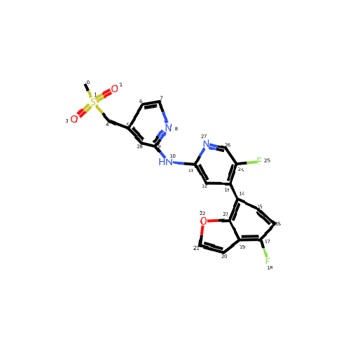 CS(=O)(=O)Cc1ccnc(Nc2cc(-c3ccc(F)c4ccoc34)c(F)cn2)c1